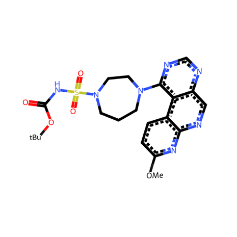 COc1ccc2c(ncc3ncnc(N4CCCN(S(=O)(=O)NC(=O)OC(C)(C)C)CC4)c32)n1